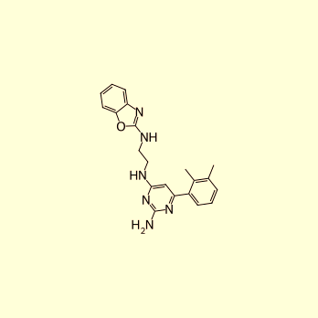 Cc1cccc(-c2cc(NCCNc3nc4ccccc4o3)nc(N)n2)c1C